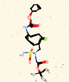 CC(C)(C)OC(=O)N(Cc1ccc(NC(=O)Oc2ccccc2)cc1F)S(N)(=O)=O